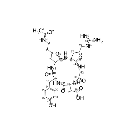 CC(=O)NCCCCC1NC(=O)C(Cc2ccc(O)cc2)NC(=O)C(CC(=O)O)NC(=O)CNC(=O)C(CCCNC(=N)N)NC1=O